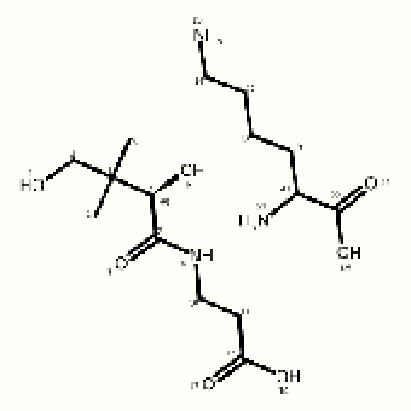 CC(C)(CO)[C@@H](O)C(=O)NCCC(=O)O.NCCCCC(N)C(=O)O